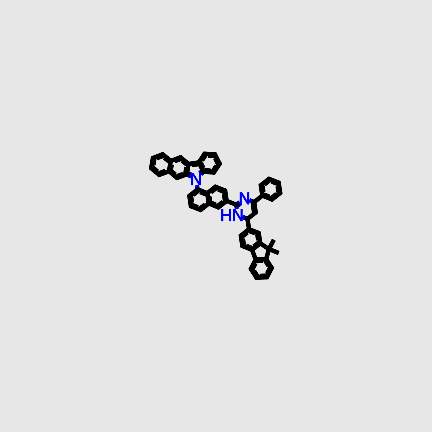 CC1(C)c2ccccc2-c2ccc(C3C=C(c4ccccc4)N=C(c4ccc5c(-n6c7ccccc7c7cc8ccccc8cc76)cccc5c4)N3)cc21